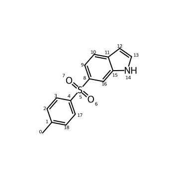 Cc1ccc(S(=O)(=O)c2ccc3cc[nH]c3c2)cc1